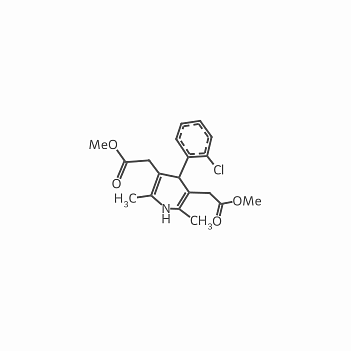 COC(=O)CC1=C(C)NC(C)=C(CC(=O)OC)C1c1ccccc1Cl